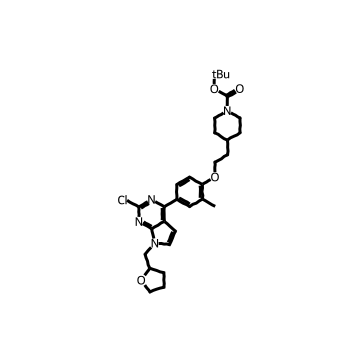 Cc1cc(-c2nc(Cl)nc3c2ccn3CC2CCCO2)ccc1OCCC1CCN(C(=O)OC(C)(C)C)CC1